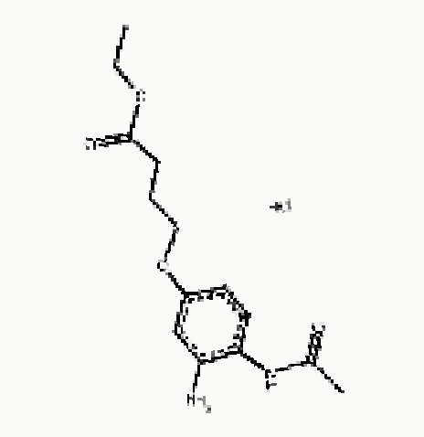 CCOC(=O)CCCOc1ccc(NC(C)=O)c(N)c1.Cl